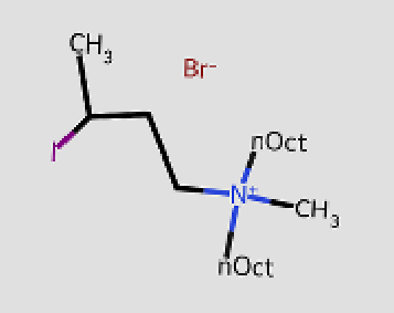 CCCCCCCC[N+](C)(CCCCCCCC)CCC(C)I.[Br-]